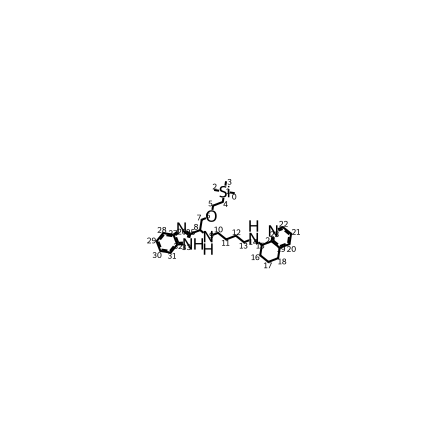 C[Si](C)(C)CCOCC(NCCCCNC1CCCc2cccnc21)c1nc2ccccc2[nH]1